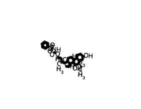 CC[C@@H]1C2C[C@H](O)CCC2(C)[C@H]2CCC3(C)[C@@H]([C@H](C)CCOC(=O)NS(=O)(=O)c4ccccc4)CC[C@H]3C2[C@@H]1O